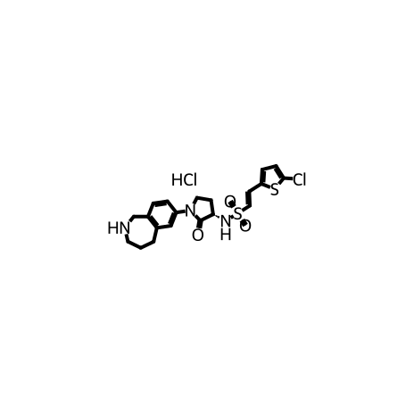 Cl.O=C1[C@@H](NS(=O)(=O)C=Cc2ccc(Cl)s2)CCN1c1ccc2c(c1)CCCNC2